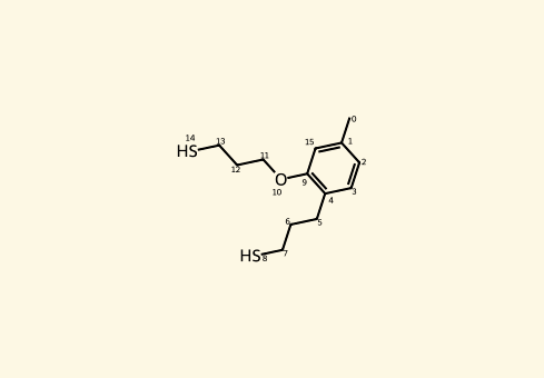 Cc1ccc(CCCS)c(OCCCS)c1